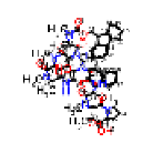 CC(C)C[C@H](NC(=O)[C@H](C)N(C)C(=O)OCC1c2ccccc2-c2ccccc21)C(=O)N(C)CC(=O)N(C)[C@@H](C)C(=O)N[C@@H](CC(C)C)C(O)N(C)[C@@H](Cc1ccccc1)C(=O)N[C@@H](C)C(=O)N(C)[C@H](C(=O)N1CCCC1C(=O)O)C(C)C